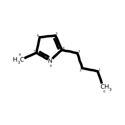 CCCCC1=CCC(C)=N1